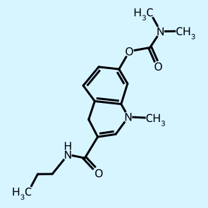 CCCNC(=O)C1=CN(C)c2cc(OC(=O)N(C)C)ccc2C1